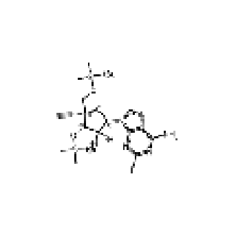 [2H]C1([2H])[C@H](n2cnc3c(N)nc(F)nc32)O[C@](C#C)(CO[Si](C)(C)C(C)(C)C)[C@H]1O[Si](C)(C)C(C)(C)C